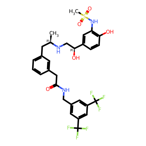 C[C@H](Cc1cccc(CC(=O)NCc2cc(C(F)(F)F)cc(C(F)(F)F)c2)c1)NC[C@H](O)c1ccc(O)c(NS(C)(=O)=O)c1